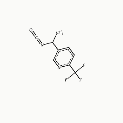 CC(N=C=O)c1ccc(C(F)(F)F)nc1